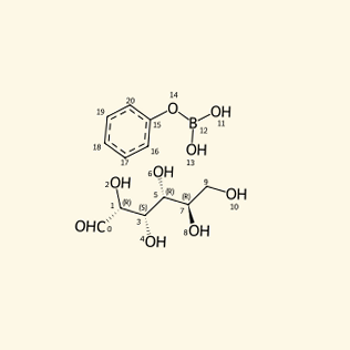 O=C[C@H](O)[C@@H](O)[C@H](O)[C@H](O)CO.OB(O)Oc1ccccc1